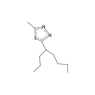 CCCCC(CCC)c1nnc(C)s1